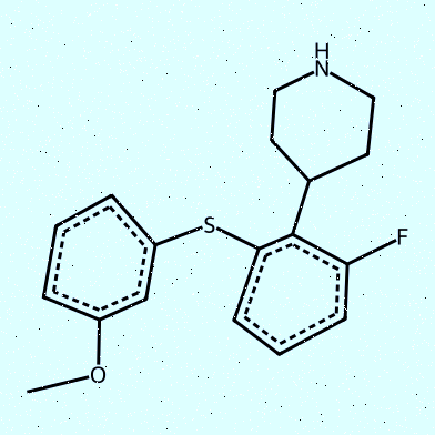 COc1cccc(Sc2cccc(F)c2C2CCNCC2)c1